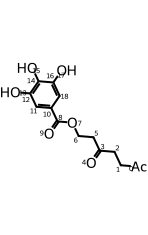 CC(=O)CCC(=O)CCOC(=O)c1cc(O)c(O)c(O)c1